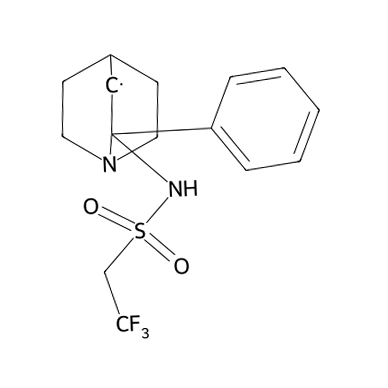 O=S(=O)(CC(F)(F)F)NC1(c2ccccc2)[CH]C2CCN1CC2